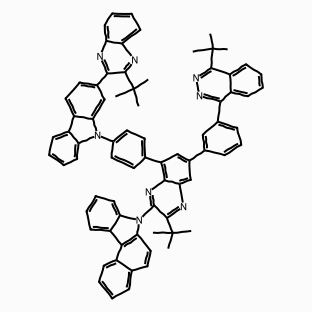 CC(C)(C)c1nc2ccccc2nc1-c1ccc2c3ccccc3n(-c3ccc(-c4cc(-c5cccc(-c6nnc(C(C)(C)C)c7ccccc67)c5)cc5nc(C(C)(C)C)c(-n6c7ccccc7c7c8ccccc8ccc76)nc45)cc3)c2c1